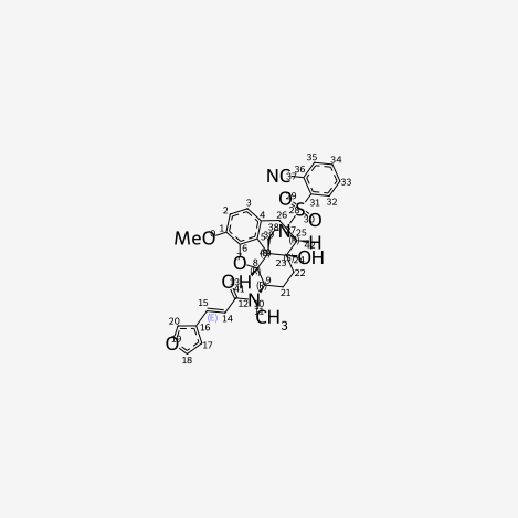 COc1ccc2c3c1O[C@H]1[C@H](N(C)C(=O)/C=C/c4ccoc4)CC[C@@]4(O)[C@@H](C2)N(S(=O)(=O)c2ccccc2C#N)CC[C@]314